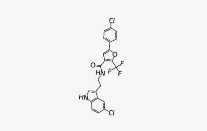 O=C(NCCc1c[nH]c2ccc(Cl)cc12)c1cc(-c2ccc(Cl)cc2)oc1C(F)(F)F